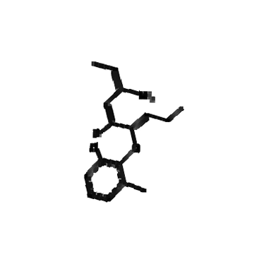 C\C=C(N)/C=C(Br)\C(=C\CC)Oc1c(C)cccc1Cl